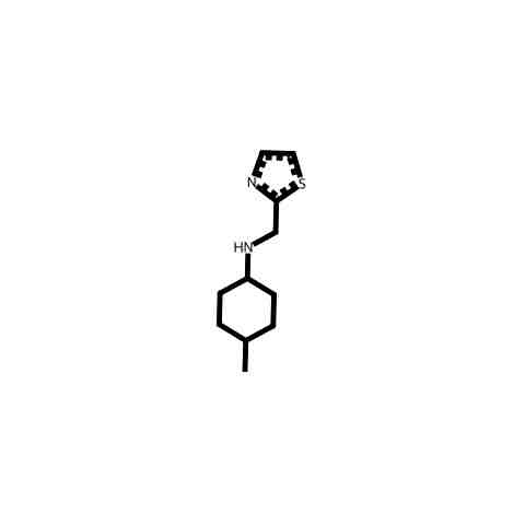 CC1CCC(NCc2nccs2)CC1